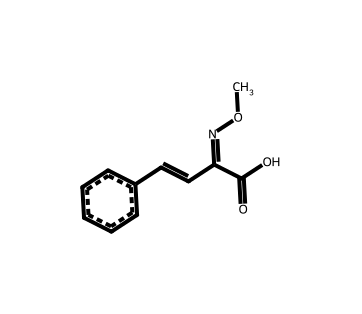 CON=C(/C=C/c1ccccc1)C(=O)O